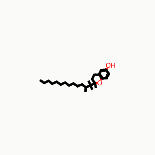 CCCCCCCCCCCC(C)C(C)(C)C1(C)CCc2cc(O)ccc2O1